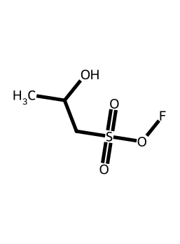 CC(O)CS(=O)(=O)OF